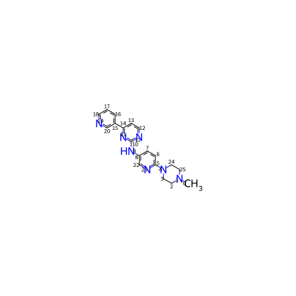 CN1CCN(c2ccc(Nc3nccc(-c4cccnc4)n3)cn2)CC1